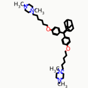 CN1CC[N+](C)(CCCCCCOc2ccc(C(=C3C4CC5CC(C4)CC3C5)c3ccc(OCCCCCC[N+]4(C)CCN(C)CC4)cc3)cc2)CC1